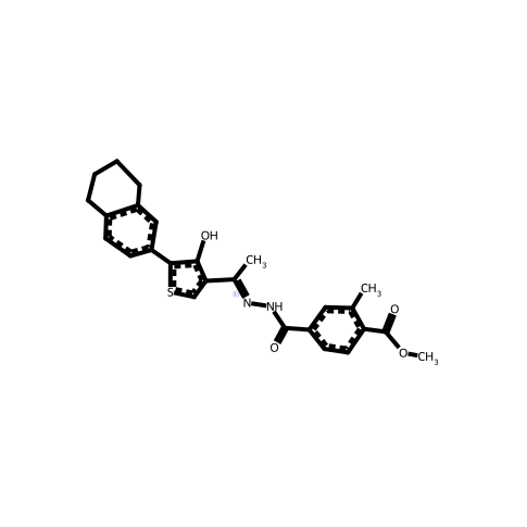 COC(=O)c1ccc(C(=O)N/N=C(\C)c2csc(-c3ccc4c(c3)CCCC4)c2O)cc1C